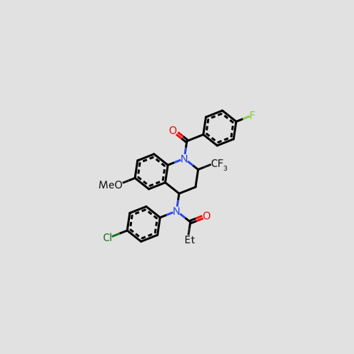 CCC(=O)N(c1ccc(Cl)cc1)C1CC(C(F)(F)F)N(C(=O)c2ccc(F)cc2)c2ccc(OC)cc21